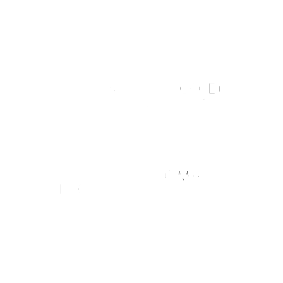 CCOC(=O)c1scc(C)c1OC